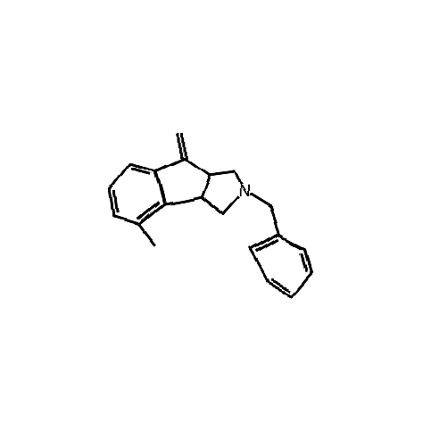 C=C1c2cccc(C)c2C2CN(Cc3ccccc3)CC12